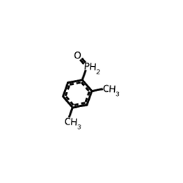 Cc1ccc([PH2]=O)c(C)c1